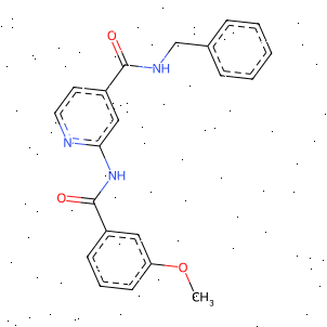 COc1cccc(C(=O)Nc2cc(C(=O)NCc3ccccc3)ccn2)c1